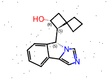 O[C@@H]1CC2(CCC2)[C@H]1[C@H]1c2ccccc2-c2cncn21